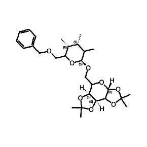 CC1[C@@H](OCC2O[C@@H]3OC(C)(C)OC3[C@H]3OC(C)(C)O[C@@H]23)OC(COCc2ccccc2)[C@H](C)[C@@H]1C